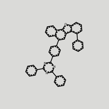 c1ccc(-c2nc(-c3ccccc3)nc(-c3ccc(-c4cc5c(oc6cccc(-c7ccccc7)c65)c5ccccc45)cc3)n2)cc1